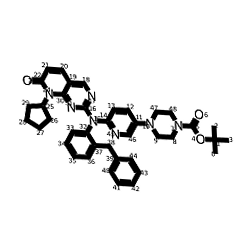 CC(C)(C)OC(=O)N1CCN(c2ccc(N(c3ncc4ccc(=O)n(C5CCCC5)c4n3)c3ccccc3Cc3ccccc3)nc2)CC1